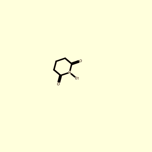 [CH2]CN1C(=O)CCCC1=O